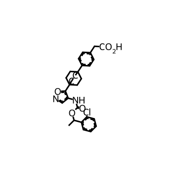 CC(OC(=O)Nc1cnoc1C12CCC(c3ccc(CC(=O)O)cc3)(CC1)CC2)c1ccccc1Cl